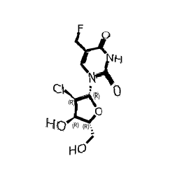 O=c1[nH]c(=O)n([C@@H]2O[C@H](CO)[C@@H](O)[C@H]2Cl)cc1CF